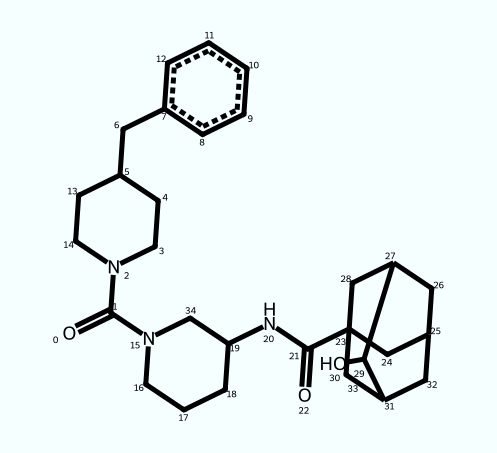 O=C(N1CCC(Cc2ccccc2)CC1)N1CCCC(NC(=O)C23CC4CC(C2)C(O)C(C4)C3)C1